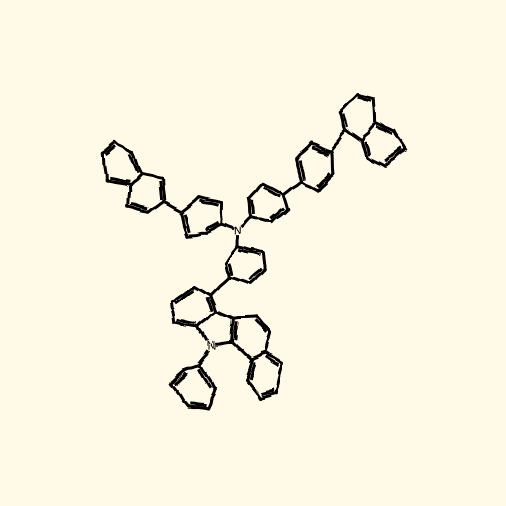 c1ccc(-n2c3cccc(-c4cccc(N(c5ccc(-c6ccc(-c7cccc8ccccc78)cc6)cc5)c5ccc(-c6ccc7ccccc7c6)cc5)c4)c3c3ccc4ccccc4c32)cc1